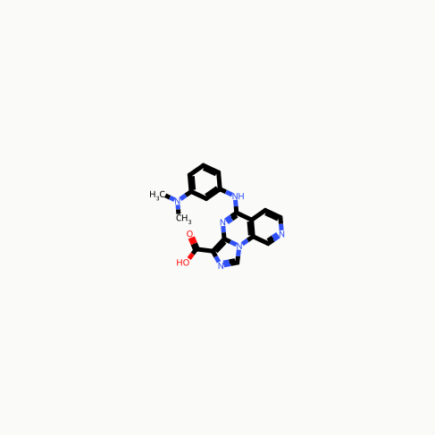 CN(C)c1cccc(Nc2nc3c(C(=O)O)ncn3c3cnccc23)c1